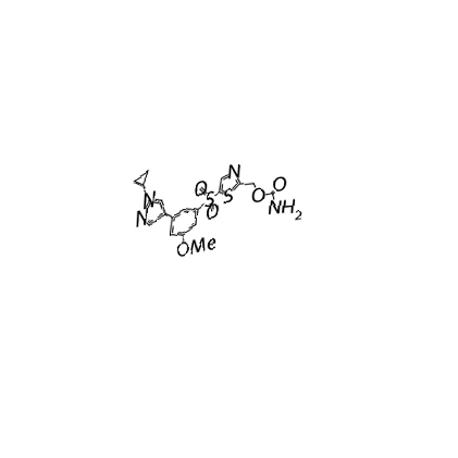 COc1cc(-c2cnn(C3CC3)c2)cc(S(=O)(=O)c2cnc(COC(N)=O)s2)c1